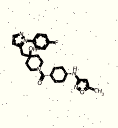 Cc1cc(N[C@H]2CC[C@@H](C(=O)N3CCC(O)(Cc4ccnn4-c4ccc(F)cc4)CC3)CC2)no1